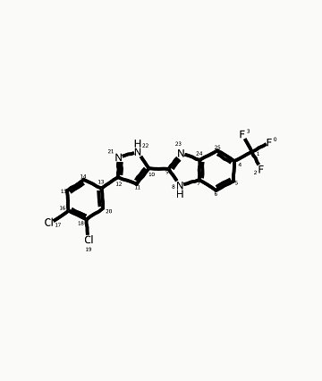 FC(F)(F)c1ccc2[nH]c(-c3cc(-c4ccc(Cl)c(Cl)c4)n[nH]3)nc2c1